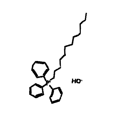 CCCCCCCCCCCC[P+](c1ccccc1)(c1ccccc1)c1ccccc1.[OH-]